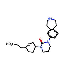 O=C(O)CC[C@H]1CC[C@H](N2CCCN(c3ccc4c(c3)CCNCC4)C2=O)CC1